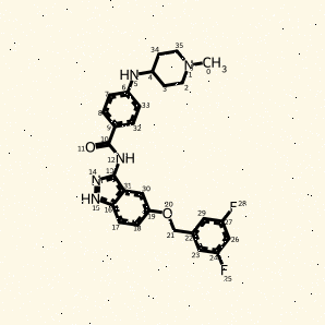 CN1CCC(Nc2ccc(C(=O)Nc3n[nH]c4ccc(OCc5cc(F)cc(F)c5)cc34)cc2)CC1